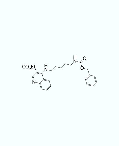 CCOC(=O)c1cnc2ccccc2c1NCCCCCNC(=O)OCc1ccccc1